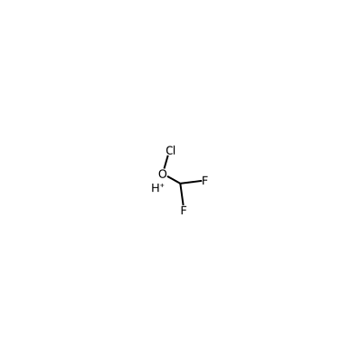 FC(F)OCl.[H+]